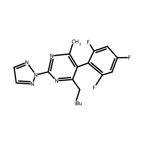 CCC(C)Cc1nc(-n2nccn2)nc(C)c1-c1c(F)cc(F)cc1F